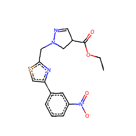 CCOC(=O)C1C=NN(Cc2nc(-c3cccc([N+](=O)[O-])c3)cs2)C1